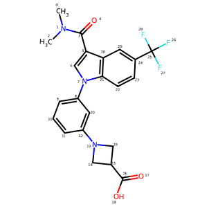 CN(C)C(=O)c1cn(-c2cccc(N3CC(C(=O)O)C3)c2)c2ccc(C(F)(F)F)cc12